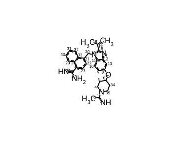 CC(=N)N1CCC(Oc2ccc3c(c2)nc(C(C)C)n3Cc2ccc(C(=N)N)c3ccccc23)CC1